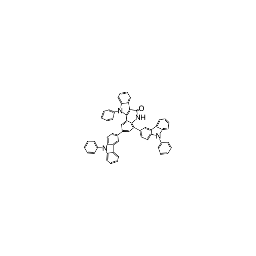 O=c1[nH]c2c(-c3ccc4c(c3)c3ccccc3n4-c3ccccc3)cc(-c3ccc4c(c3)c3ccccc3n4-c3ccccc3)cc2c2c1c1ccccc1n2-c1ccccc1